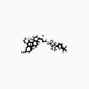 CC[C@@H]1C2C[C@H](O)CC[C@@]2(C)[C@H]2CCC3(C)[C@@H]([C@H](C)CCOC(=O)NS(=O)(=O)c4ccc(C(C)(C)C)s4)CC[C@H]3C2[C@@H]1O